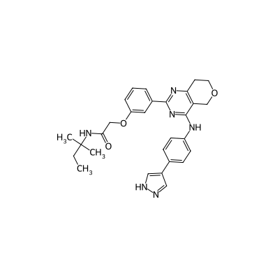 CCC(C)(C)NC(=O)COc1cccc(-c2nc3c(c(Nc4ccc(-c5cn[nH]c5)cc4)n2)COCC3)c1